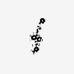 CN(C(=O)Nc1ccc(F)c(C(F)F)c1)[C@H]1COCc2nc(NCCNC(=O)OCc3ccccc3)c3cc(F)c(F)cc3c21